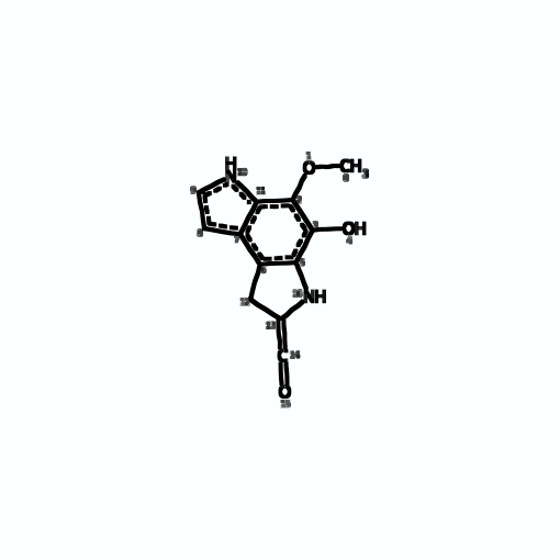 COc1c(O)c2c(c3c[c][nH]c13)CC(=C=O)N2